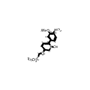 CCOC(=O)COC1CC=C(c2ccc([N+](=O)[O-])c(OC)c2)B(C#N)C1